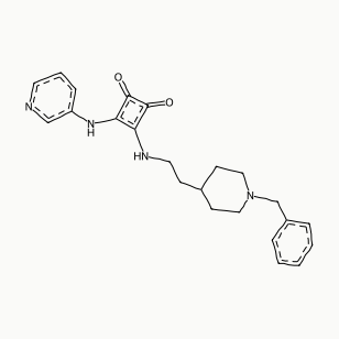 O=c1c(NCCC2CCN(Cc3ccccc3)CC2)c(Nc2cccnc2)c1=O